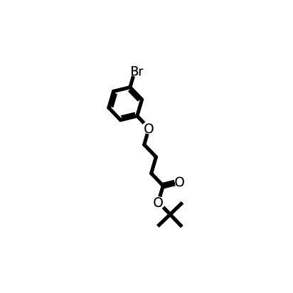 CC(C)(C)OC(=O)CCCOc1cccc(Br)c1